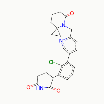 O=C1CCC(c2cccc(-c3ccc(CN4C(=O)CCCC45CC5)nc3)c2Cl)C(=O)N1